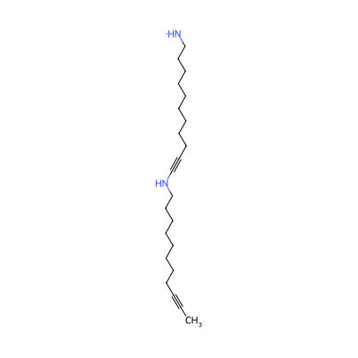 CC#CCCCCCCCCNC#CCCCCCCCCC[NH]